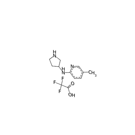 Cc1ccc(NC2CCNC2)nc1.O=C(O)C(F)(F)F